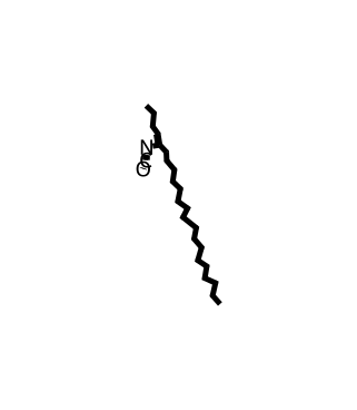 CCCC=C(CCCCCCCCCCCCCCCCC)N=C=O